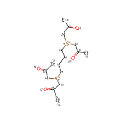 CCC(=O)C[S+](CCCC[S+](CC(=O)CC)CC(=O)CC)CC(=O)CC